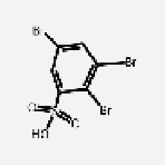 O=S(=O)(O)c1cc(Br)cc(Br)c1Br